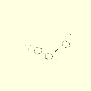 CC(=O)Nc1cccc(C#Cc2nc(-c3ccc(S(=O)(=O)C(C)C)cc3)cnc2N)c1